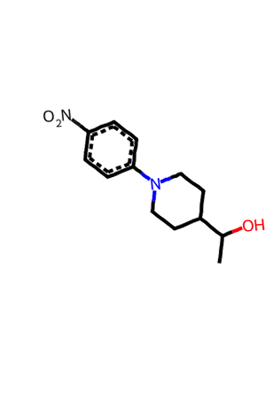 CC(O)C1CCN(c2ccc([N+](=O)[O-])cc2)CC1